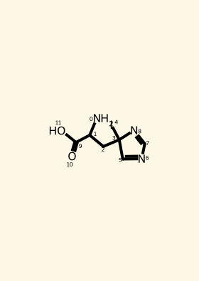 NC(CC1(I)C=NC=N1)C(=O)O